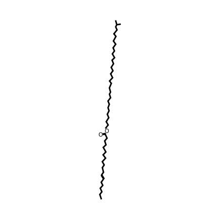 CCCCCCC=CCCCCCCCCCCCC(=O)OCCCCCCCCCCCCCCCCCCCCCCCCCCCCCCCC(C)C